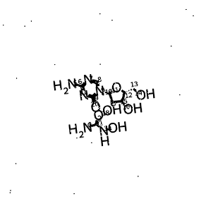 NC(=O)NO.Nc1ncn([C@@H]2O[C@H](CO)[C@@H](O)[C@H]2O)c(=O)n1